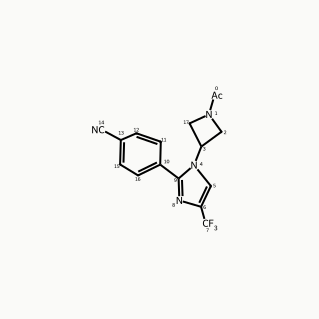 CC(=O)N1CC(n2cc(C(F)(F)F)nc2-c2ccc(C#N)cc2)C1